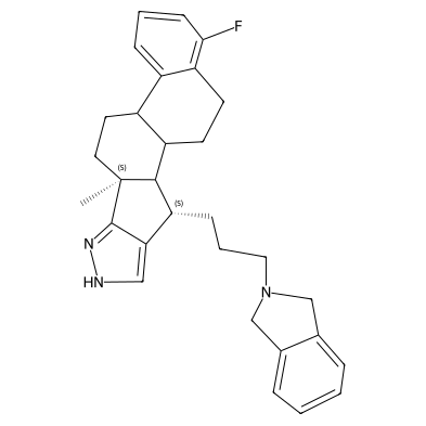 C[C@]12CCC3c4cccc(F)c4CCC3C1[C@H](CCCN1Cc3ccccc3C1)c1c[nH]nc12